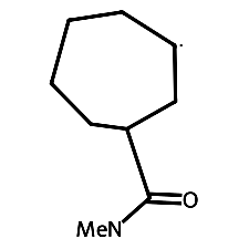 CNC(=O)C1C[CH]CCCC1